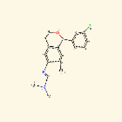 CCN(C)/C=N/c1cc2c(cc1C)C(c1cccc(Cl)c1)OCC2